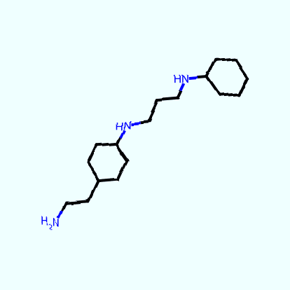 NCCC1CCC(NCCCNC2CCCCC2)CC1